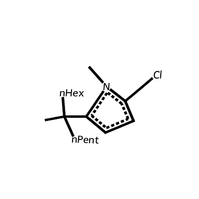 CCCCCCC(C)(CCCCC)c1ccc(Cl)n1C